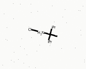 CC(C)C(C)(N)C(C)C.CCl